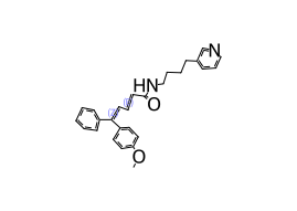 COc1ccc(/C(=C\C=C\C(=O)NCCCCc2cccnc2)c2ccccc2)cc1